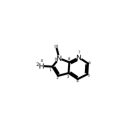 [2H]c1cc2cccnc2n1C